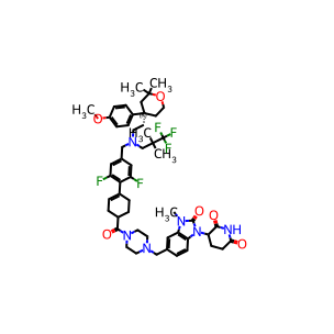 COc1ccc([C@]2(CCN(Cc3cc(F)c(C4=CCC(C(=O)N5CCN(Cc6ccc7c(c6)n(C)c(=O)n7C6CCC(=O)NC6=O)CC5)CC4)c(F)c3)CC(C)(C)C(F)(F)F)CCOC(C)(C)C2)cc1